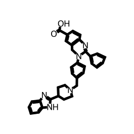 O=C(O)c1ccc2c(c1)CN(c1ccc(CN3CCC(c4nc5ccccc5[nH]4)CC3)cc1)C(c1ccccc1)=N2